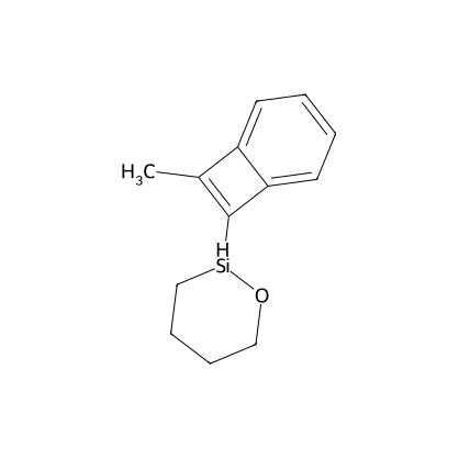 CC1=C([SiH]2CCCCO2)c2ccccc21